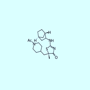 CC(=O)N1CCC(C[C@]2(C)SC(NC3C[C@H]4CC[C@H]3C4)=NC2=O)CC1